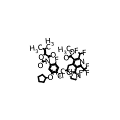 CC(C)=C1OC(=O)N(c2cc(OC3CCCC3)c(Cl)cc2F)C1=O.COC(=O)c1c(C(F)F)nc(C(F)(F)F)c(C2=NCCS2)c1CC(C)C